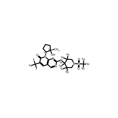 [2H]C(F)(F)c1cc2cnc(NC3([2H])C([2H])([2H])CN(S(=O)(=O)C([2H])([2H])[2H])CC3([2H])[2H])nc2n([C@H]2CCC[C@]2(C)O)c1=O